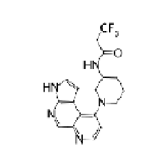 O=C(CC(F)(F)F)NC1CCCN(c2ccnc3cnc4[nH]ccc4c23)C1